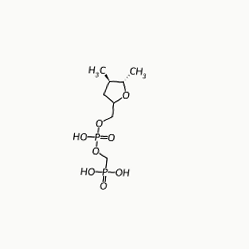 C[C@@H]1CC(COP(=O)(O)OCP(=O)(O)O)O[C@H]1C